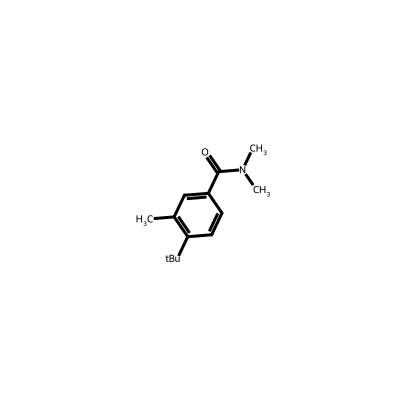 Cc1cc(C(=O)N(C)C)ccc1C(C)(C)C